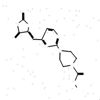 CC(C)(C)OC(=O)N1CCN(c2nccc(/C=C3\SC(=O)NC3=O)n2)CC1